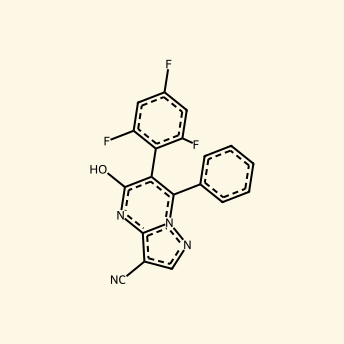 N#Cc1cnn2c(-c3ccccc3)c(-c3c(F)cc(F)cc3F)c(O)nc12